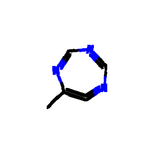 CC1=C=NC=NC=N1